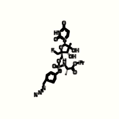 CC(C)OC(=O)[C@H](C)NP(=O)(OC[C@@]1(CF)O[C@@H](n2ccc(=O)[nH]c2=O)[C@](C)(O)[C@@H]1O)Oc1ccc(CN=[N+]=[N-])cc1